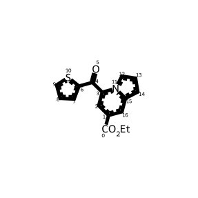 CCOC(=O)c1cc(C(=O)c2cccs2)n2cccc2c1